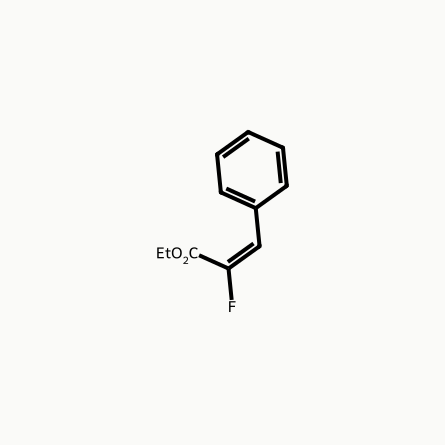 CCOC(=O)/C(F)=C\c1ccccc1